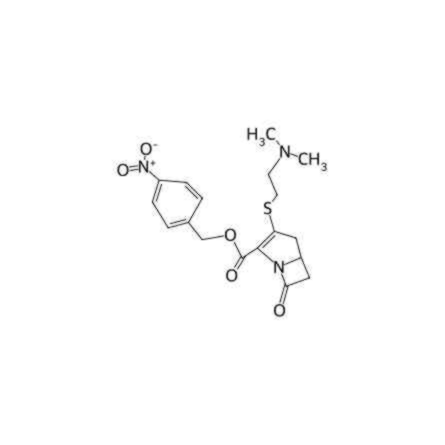 CN(C)CCSC1=C(C(=O)OCc2ccc([N+](=O)[O-])cc2)N2C(=O)CC2C1